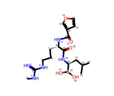 CNC(=N)NCCC[C@H](NC(=O)c1ccoc1)C(=O)N[C@@H](CC(C)C)B(O)O